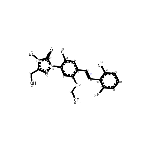 CCn1c(CO)nn(-c2cc(OCC(F)(F)F)c(/C=C/c3c(F)cccc3Cl)cc2F)c1=O